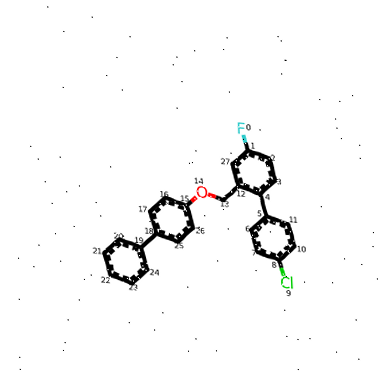 Fc1ccc(-c2ccc(Cl)cc2)c(COc2ccc(-c3[c]cccc3)cc2)c1